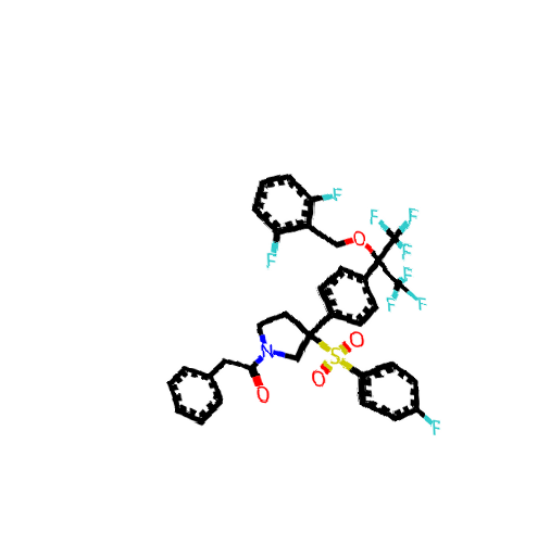 O=C(Cc1ccccc1)N1CCC(c2ccc(C(OCc3c(F)cccc3F)(C(F)(F)F)C(F)(F)F)cc2)(S(=O)(=O)c2ccc(F)cc2)C1